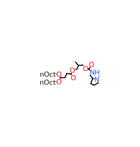 [CH2]C(COC(=O)CCC(OCCCCCCCC)OCCCCCCCC)COC(=O)NCC1CCCN1C